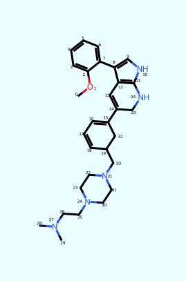 COc1ccccc1-c1c[nH]c2c1C=C(C1=CC=CC(CN3CCN(CCN(C)C)CC3)C1)CN2